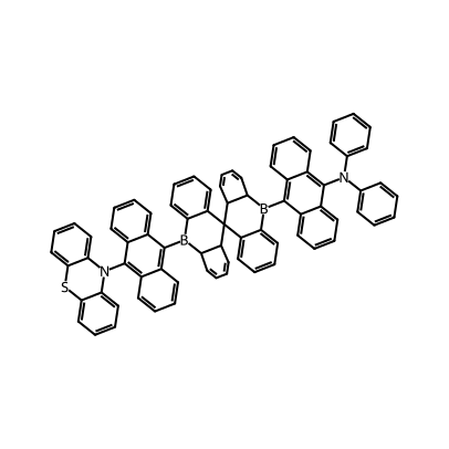 C1=CC2B(c3c4ccccc4c(N(c4ccccc4)c4ccccc4)c4ccccc34)c3ccccc3C3(c4ccccc4B(c4c5ccccc5c(N5c6ccccc6Sc6ccccc65)c5ccccc45)C4C=CC=CC43)C2C=C1